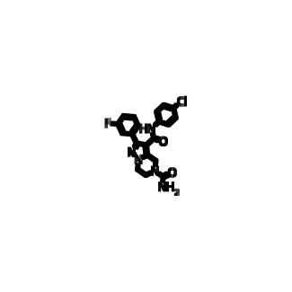 NC(=O)N1CCn2nc(-c3cccc(F)c3)c(C(=O)Nc3ccc(Cl)cc3)c2C1